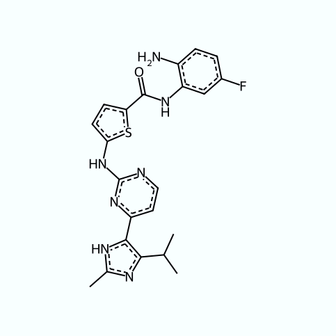 Cc1nc(C(C)C)c(-c2ccnc(Nc3ccc(C(=O)Nc4cc(F)ccc4N)s3)n2)[nH]1